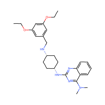 CCOc1cc(CN[C@H]2CC[C@@H](Nc3nc(N(C)C)c4ccccc4n3)CC2)cc(OCC)c1